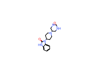 O=c1[nH]c2ccccc2n1C1CCN(C2CNC3ON3C2)CC1